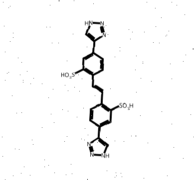 O=S(=O)(O)c1cc(-c2c[nH]nn2)ccc1C=Cc1ccc(-c2c[nH]nn2)cc1S(=O)(=O)O